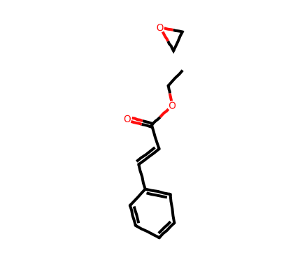 C1CO1.CCOC(=O)C=Cc1ccccc1